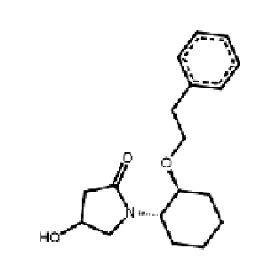 O=C1CC(O)CN1[C@H]1CCCC[C@@H]1OCCc1ccccc1